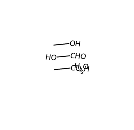 CC(=O)O.CO.O.O=CO